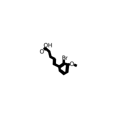 COc1cccc(/C=C/CCC(=O)O)c1Br